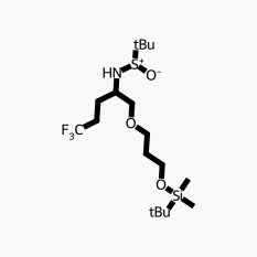 CC(C)(C)[S+]([O-])NC(CCC(F)(F)F)COCCCO[Si](C)(C)C(C)(C)C